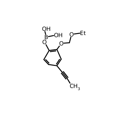 CC#Cc1ccc(OB(O)O)c(OCOCC)c1